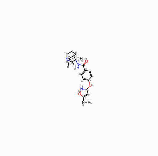 CC(=O)Nc1cc(Oc2ccc(C(=O)N[C@@H]3C4CCN(CC4)[C@H]3C)cc2)no1